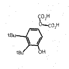 CC(C)(C)c1cccc(O)c1C(C)(C)C.O=C(O)OC(=O)O